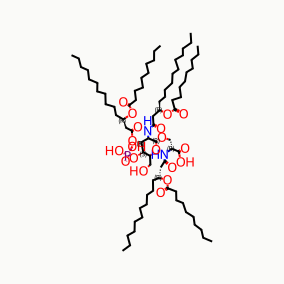 CCCCCCCCCCC[C@H](CC(=O)NC1[C@H](OC[C@@H](NC(=O)C[C@@H](CCCCCCCCCCC)OC(=O)CCCCCCCCC)C(=O)O)OC(CO)[C@@H](OP(=O)(O)O)[C@@H]1OC(=O)C[C@@H](CCCCCCCCCCC)OC(=O)CCCCCCCCC)OC(=O)CCCCCCCCC